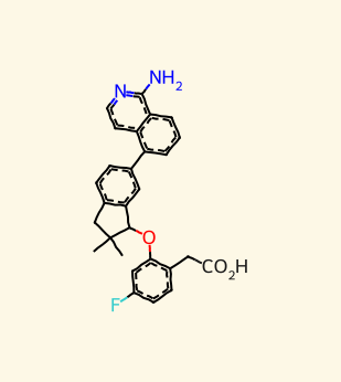 CC1(C)Cc2ccc(-c3cccc4c(N)nccc34)cc2C1Oc1cc(F)ccc1CC(=O)O